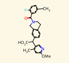 COc1cc(C)c(C(C(=O)O)c2ccc3c(c2)CN(C(=O)c2cc(C)ccc2F)CC3)cn1